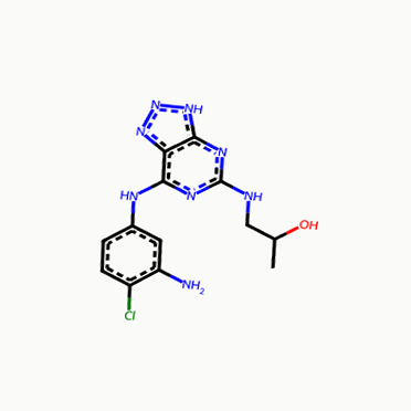 CC(O)CNc1nc(Nc2ccc(Cl)c(N)c2)c2nn[nH]c2n1